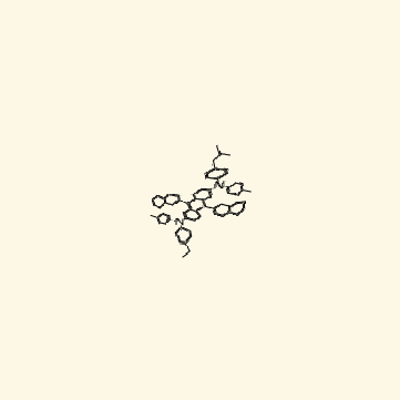 CCc1ccc(N(c2ccc(C)cc2)c2ccc3c(-c4ccc5ccccc5c4)c4cc(N(c5ccc(C)cc5)c5ccc(CC(C)C)cc5)ccc4c(-c4ccc5ccccc5c4)c3c2)cc1